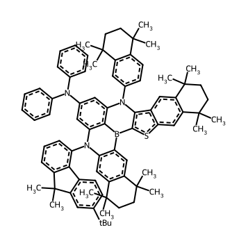 CC(C)(C)c1ccc2c(c1)C(C)(C)c1cccc(N3c4cc5c(cc4B4c6sc7cc8c(cc7c6N(c6ccc7c(c6)C(C)(C)CCC7(C)C)c6cc(N(c7ccccc7)c7ccccc7)cc3c64)C(C)(C)CCC8(C)C)C(C)(C)CCC5(C)C)c1-2